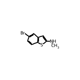 CNc1cc2cc(Br)ccc2s1